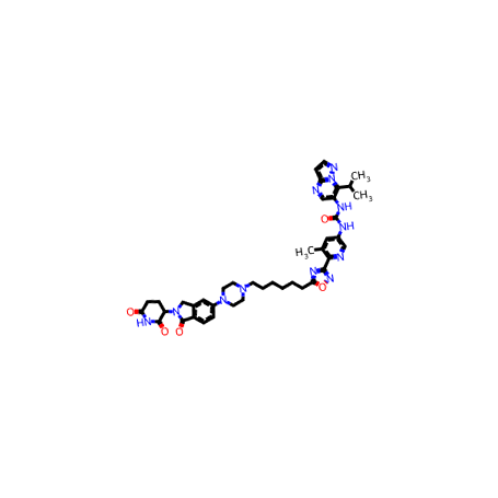 Cc1cc(NC(=O)Nc2cnc3ccnn3c2C(C)C)cnc1-c1noc(CCCCCCN2CCN(c3ccc4c(c3)CN(C3CCC(=O)NC3=O)C4=O)CC2)n1